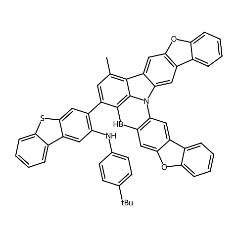 Cc1cc(-c2cc3sc4ccccc4c3cc2Nc2ccc(C(C)(C)C)cc2)c2c3c1c1cc4oc5ccccc5c4cc1n3-c1cc3c(cc1B2)oc1ccccc13